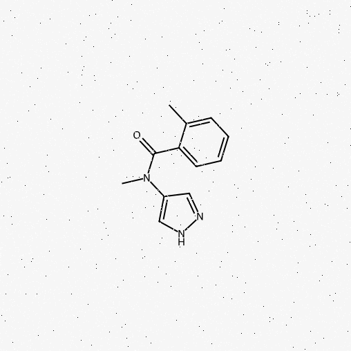 Cc1ccccc1C(=O)N(C)c1cn[nH]c1